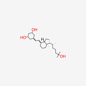 C[C@H](CCCC(C)(C)O)[C@H]1CC[C@H]2/C(=C/C=C3\CC(O)C[C@H](O)C3)CCC[C@]12C